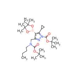 CCCCN(Cc1nn(C(=O)OC(C)(C)C)c(C2CC2)c1B1OC(C)(C)C(C)(C)O1)C(=O)OC(C)(C)C